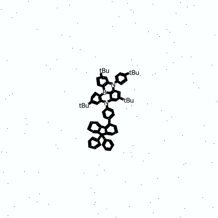 CC(C)(C)c1ccc(N2c3cc(C(C)(C)C)ccc3B3c4ccc(C(C)(C)C)cc4N(c4ccc(-c5cccc6c5-c5ccccc5C6(c5ccccc5)c5ccccc5)cc4)c4cc(C(C)(C)C)cc2c43)cc1